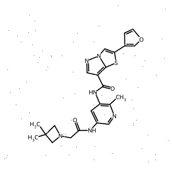 Cc1ncc(NC(=O)CN2CC(C)(C)C2)cc1NC(=O)c1cnn2cc(-c3ccoc3)sc12